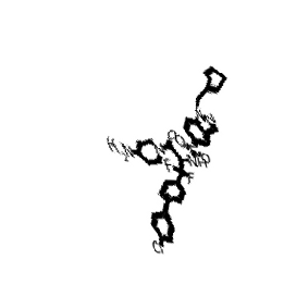 NC1CCN(C(=O)[C@@H](NS(=O)(=O)c2ccc3c(cnn3CC3CCCC3)c2)C(F)(F)c2ccc(-c3ccc(Cl)cc3)cc2)CC1